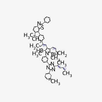 C=C/C=C\c1c(/C=C(\C=C)c2ccc3c(c2)C(C)(C)c2ccc4nc(-c5ccccc5)sc4c2-3)c(BC)n(-c2cccc(-c3nc(C4=CC=C[C@H](C)C4)nc(/C(C)=C/C=C\C)n3)c2)c1BC